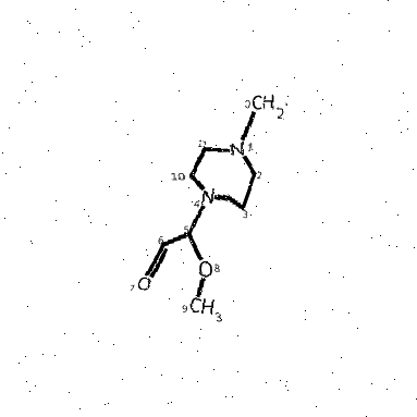 [CH2]N1CCN(C(C=O)OC)CC1